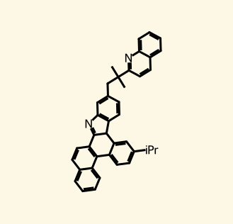 CC(C)c1ccc2c(c1)C1C(=Nc3cc(CC(C)(C)c4ccc5ccccc5n4)ccc31)c1ccc3ccccc3c1-2